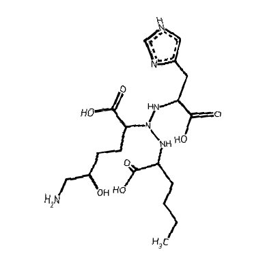 CCCCC(NN(NC(Cc1c[nH]cn1)C(=O)O)C(CCC(O)CN)C(=O)O)C(=O)O